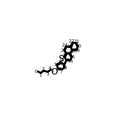 CCCCCOc1ccc2c(c1)sc1c2ccc2c3ccccc3ccc21